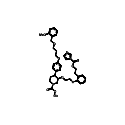 COc1ccccc1COCCCOc1ccc(C2CCN(C(=O)OC(C)(C)C)CC2OCCOc2ccccc2CCOC(=O)n2ccnc2)cc1